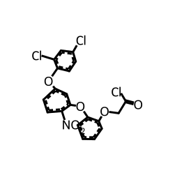 O=C(Cl)COc1ccccc1Oc1cc(Oc2ccc(Cl)cc2Cl)ccc1[N+](=O)[O-]